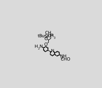 CC(C)(C)[Si](C)(C)OC(CF)COc1cc(-c2ccc3cc(NC=O)ccc3n2)ccc1N